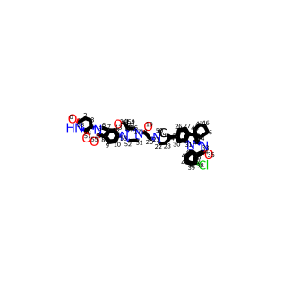 O=C1CCC(N2Cc3c(ccc4c3OC[C@H]3CN(C(=O)CN5CCC(c6ccc7c(c6)-n6c(nc(=O)c8c(Cl)cccc86)C76CCCCC6)CC5)CCN43)C2=O)C(=O)N1